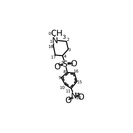 CN1CCC(S(=O)(=O)c2ccc([N+](=O)[O-])cc2)CC1